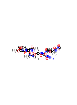 COC(=O)c1cc2c3c(cc(OC(=O)N(C)CCN(C)C(=O)OCc4ccc(NC(=O)[C@H](CCCNC(N)=O)NC(=O)CNC(=O)C(C)(C)COC(C)(C)CCNC(=O)CCN5C(=O)C=CC5=O)cc4)c2[nH]1)N(C(=O)c1cc2cc(OC)c(OC)c(OC)c2[nH]1)CC3